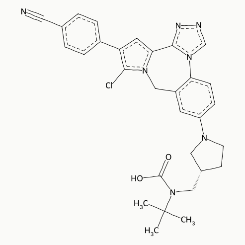 CC(C)(C)N(C[C@H]1CCN(c2ccc3c(c2)Cn2c(cc(-c4ccc(C#N)cc4)c2Cl)-c2nncn2-3)C1)C(=O)O